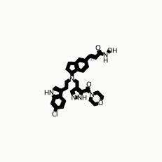 O=C(/C=C/c1ccc2c(c1)CCC2N(CCc1c[nH]c2cc(Cl)ccc12)Cc1cn[nH]c1C(=O)N1CCOCC1)NO